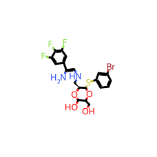 N/C(=C\NC[C@@H]1OC(O)C(CO)OC1Sc1cccc(Br)c1)c1cc(F)c(F)c(F)c1